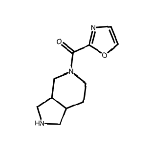 O=C(c1ncco1)N1CCC2CNCC2C1